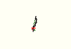 C=C(CCC)/C(F)=C\C(=C/C)OC(=O)c1ccc(-c2ccc(-c3ccc(CC)cc3)c(F)c2F)cc1